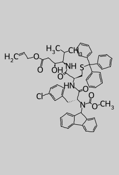 C=CCOC(=O)C[C@H](O)[C@H](NC(=O)[C@@H](CSC(c1ccccc1)(c1ccccc1)c1ccccc1)NC(=O)[C@@H](Cc1cccc(Cl)c1)N(C(=O)OC)C1c2ccccc2-c2ccccc21)C(C)C